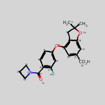 CC1(C)Cc2c(Oc3ccc(C(=O)N4CCC4)c(F)c3)cc(C(=O)O)cc2O1